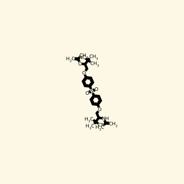 C=C(C)NC(COc1ccc(S(=O)(=O)c2ccc(OCC(OC(=C)C)C(C)(C)C#N)cc2)cc1)C(C)(C)C#N